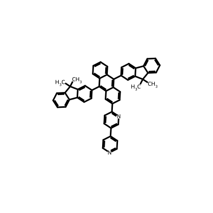 CC1(C)c2ccccc2-c2ccc(-c3c4ccccc4c(-c4ccc5c(c4)C(C)(C)c4ccccc4-5)c4cc(-c5ccc(-c6ccncc6)cn5)ccc34)cc21